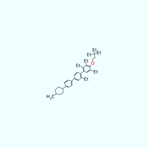 CCc1cc(-c2ccc(C3CCC(C)CC3)cc2)ccc1-c1cc(CC)c(OCCC(CC)(CC)CC)c(CC)c1CC